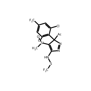 CC(=O)C1(c2c(Cl)cc(C(F)(F)F)cc2Cl)N=NC(NSC(F)(F)F)=C1[S+](C)[O-]